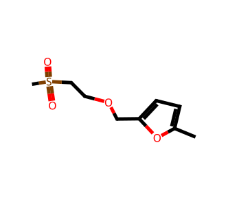 Cc1ccc(COCCS(C)(=O)=O)o1